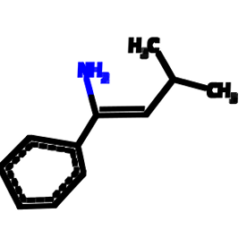 CC(C)C=C(N)c1ccccc1